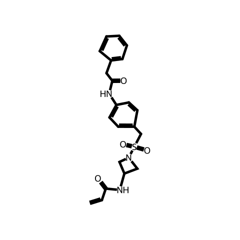 C=CC(=O)NC1CN(S(=O)(=O)Cc2ccc(NC(=O)Cc3ccccc3)cc2)C1